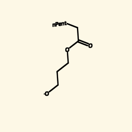 CCCCCCC(=O)OCCC[O]